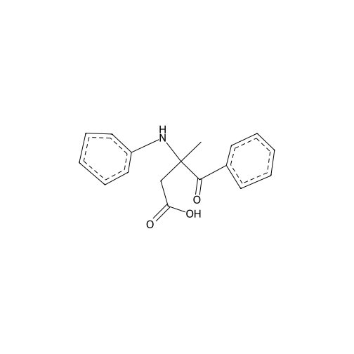 CC(CC(=O)O)(Nc1ccccc1)C(=O)c1ccccc1